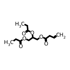 C=CCC(=O)OCC(COC(=O)CC)OC(=O)CC